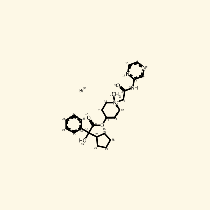 C[N+]1(CC(=O)Nc2cnccn2)CCC(OC(=O)C(O)(c2ccccc2)C2CCCC2)CC1.[Br-]